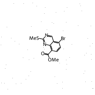 COC(=O)c1ccc(Br)c2cnc(SC)nc12